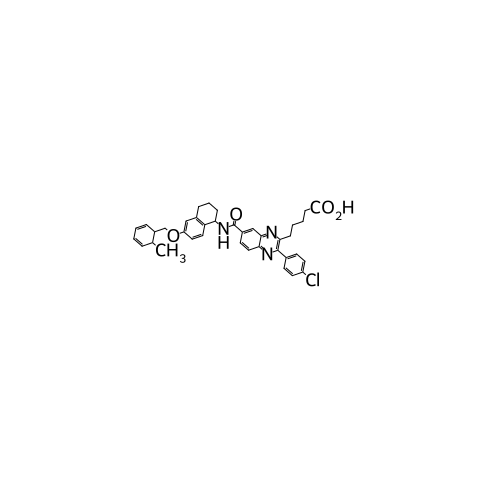 CC1C=CC=CC1COc1ccc2c(c1)CCCC2NC(=O)c1ccc2nc(-c3ccc(Cl)cc3)c(CCCCC(=O)O)nc2c1